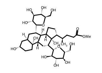 COC(=O)CC[C@@H](C)[C@H]1CC[C@H]2[C@@H]3[C@@H](C4O[C@H](CO)[C@@H](O)[C@H](O)[C@H]4O)C[C@@H]4C[C@@H](O)CC[C@]4(C)[C@H]3C[C@@H]([C@@H]3O[C@H](CO)[C@@H](O)[C@H](O)[C@H]3O)[C@]12C